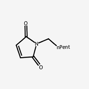 CCCCCCN1C(=O)C=CC1=O